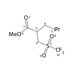 COC(=O)C(CC(C)C)CS(=O)(=O)C(F)(F)F